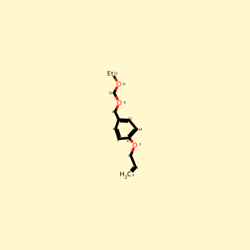 C=CCOc1ccc(COCOCC)cc1